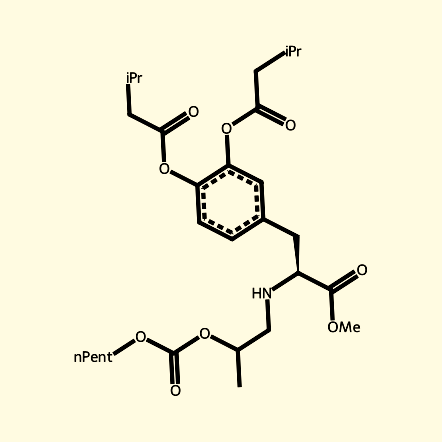 CCCCCOC(=O)OC(C)CN[C@@H](Cc1ccc(OC(=O)CC(C)C)c(OC(=O)CC(C)C)c1)C(=O)OC